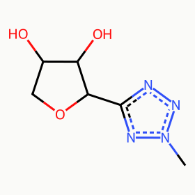 Cn1nnc(C2OCC(O)C2O)n1